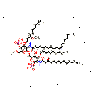 CCCCCC/C=C\CCCCCCCCCC(=O)N[C@H]1C(OCC2OC(OP(=O)(O)O)[C@H](NC(=O)CC(=O)CCCCCCCCCCC)C(OCCCCCCCCCC)[C@@H]2O)OC(COC)[C@@H](OP(=O)(O)O)C1OCCC(CCCCCCC)OC